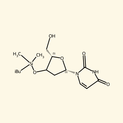 CCC(C)[Si](C)(C)OC1C[C@@H](n2ccc(=O)[nH]c2=O)O[C@H]1CO